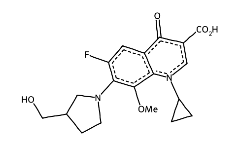 COc1c(N2CCC(CO)C2)c(F)cc2c(=O)c(C(=O)O)cn(C3CC3)c12